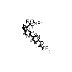 CCCOC(F)(F)c1nnc2cnc(-c3ccc(O[C@@H](C)C(F)(F)F)nc3)cn12